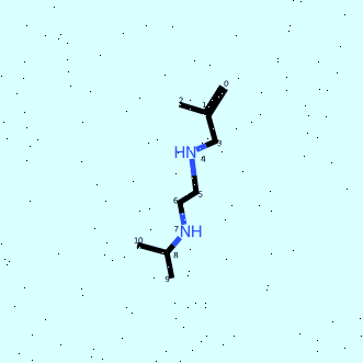 C=C(C)CNCCNC(C)C